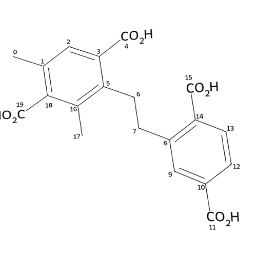 Cc1cc(C(=O)O)c(CCc2cc(C(=O)O)ccc2C(=O)O)c(C)c1C(=O)O